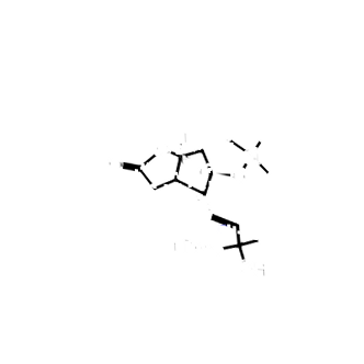 CCCCCC(C)(O)/C=C/[C@@H]1C2CC(=O)O[C@H]2C[C@H]1O[Si](C)(C)C